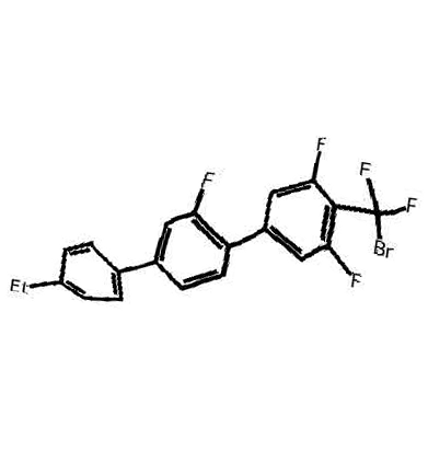 CCc1ccc(-c2ccc(-c3cc(F)c(C(F)(F)Br)c(F)c3)c(F)c2)cc1